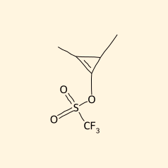 CC1=C(OS(=O)(=O)C(F)(F)F)C1C